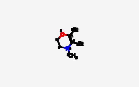 CCC1=C(CC)N(C)CCO1